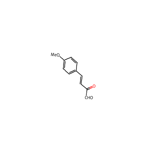 COc1ccc(C=CC(=O)C=O)cc1